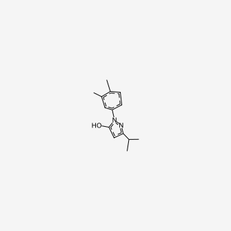 Cc1ccc(-n2nc(C(C)C)cc2O)cc1C